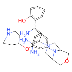 NC(N)=C(/C=C(\N)c1ccccc1O)N1CC2COCC(C1)N2c1cccc(OC2CCNCC2)c1